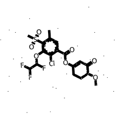 COC1CCC(OC(=O)c2cc(C)c(S(C)(=O)=O)c(OC(F)C(F)F)c2Cl)=CC1=O